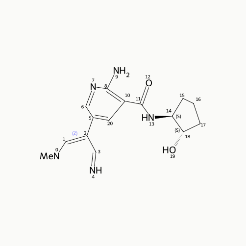 CN/C=C(\C=N)c1cnc(N)c(C(=O)N[C@H]2CCC[C@@H]2O)c1